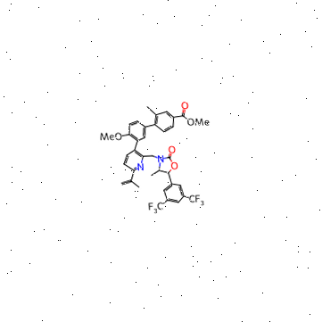 C=C(C)c1ccc(-c2cc(-c3ccc(C(=O)OC)cc3C)ccc2OC)c(CN2C(=O)OC(c3cc(C(F)(F)F)cc(C(F)(F)F)c3)C2C)n1